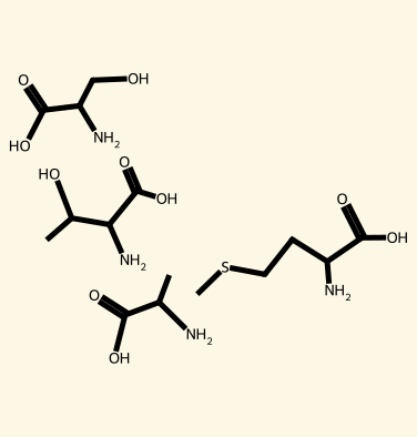 CC(N)C(=O)O.CC(O)C(N)C(=O)O.CSCCC(N)C(=O)O.NC(CO)C(=O)O